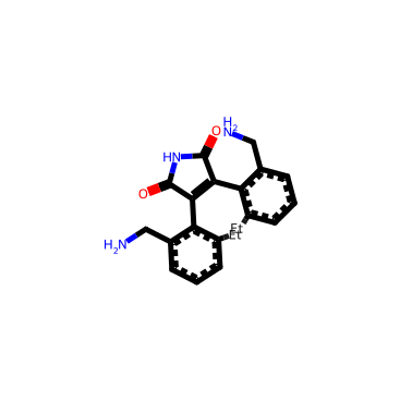 CCc1cccc(CN)c1C1=C(c2c(CC)cccc2CN)C(=O)NC1=O